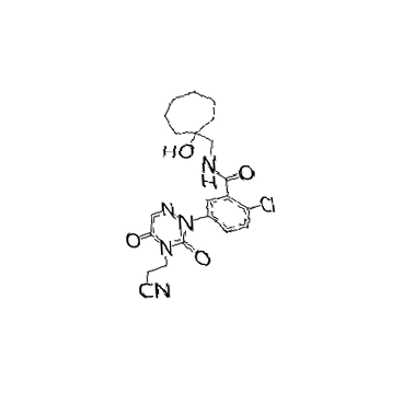 N#CCCn1c(=O)cnn(-c2ccc(Cl)c(C(=O)NCC3(O)CCCCCC3)c2)c1=O